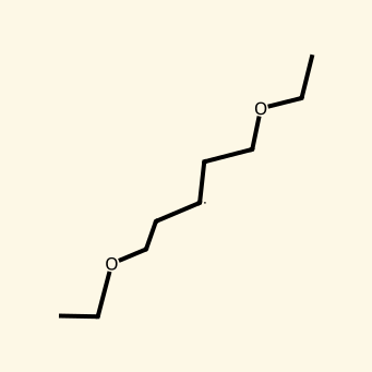 CCOCC[CH]CCOCC